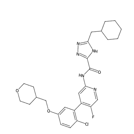 O=C(Nc1cc(-c2cc(OCC3CCOCC3)ccc2Cl)c(F)cn1)c1nnc(CC2CCCCC2)[nH]1